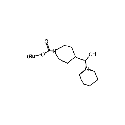 CC(C)(C)OC(=O)N1CCC(C(O)N2CCCCC2)CC1